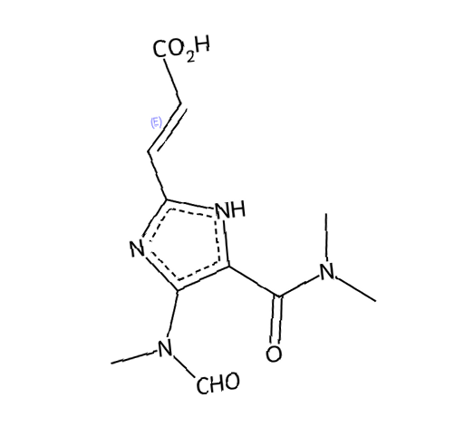 CN(C)C(=O)c1[nH]c(/C=C/C(=O)O)nc1N(C)C=O